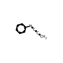 C=C=C=Nc1ccccc1